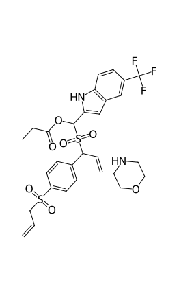 C1COCCN1.C=CCS(=O)(=O)c1ccc(C(C=C)S(=O)(=O)C(OC(=O)CC)c2cc3cc(C(F)(F)F)ccc3[nH]2)cc1